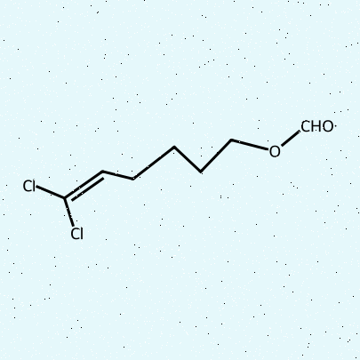 O=[C]OCCCCC=C(Cl)Cl